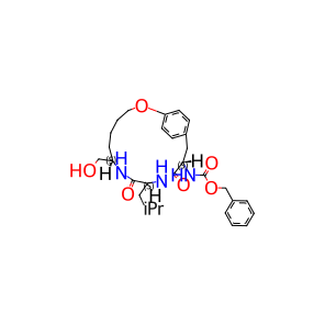 CC(C)C[C@@H]1NC(=O)[C@@H](NC(=O)OCc2ccccc2)Cc2ccc(cc2)OCCCC[C@@H](CO)NC1=O